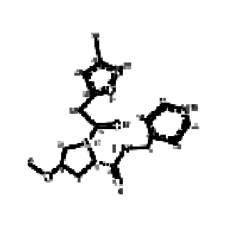 CO[C@@H]1C[C@@H](C(=O)NCc2ccncc2)N(C(=O)Cc2cc(C)no2)C1